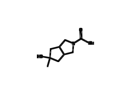 CC1(O)CC2CN(C(=O)C(C)(C)C)CC2C1